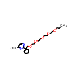 COCCOCCOCCOCCOCCOCC1(c2nccc(C=O)n2)CCCC1